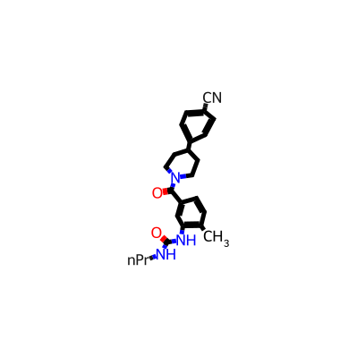 CCCNC(=O)Nc1cc(C(=O)N2CCC(c3ccc(C#N)cc3)CC2)ccc1C